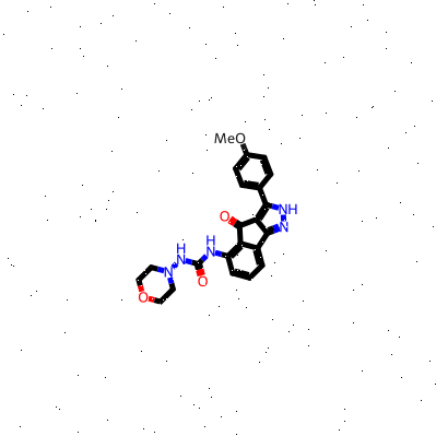 COc1ccc(-c2[nH]nc3c2C(=O)c2c(NC(=O)NN4CCOCC4)cccc2-3)cc1